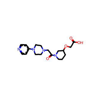 O=C(O)COC1CCCN(C(=O)CN2CCN(c3ccncc3)CC2)C1